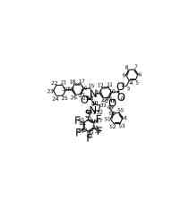 O=C(OCc1ccccc1)c1ccc(N(Cc2ccc(C3CCCCC3)cc2)C(=O)[C@H]2CCN2Sc2c(F)c(F)c(F)c(F)c2F)cc1OCc1ccccc1